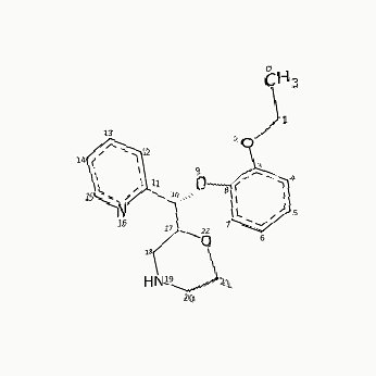 CCOc1ccccc1O[C@@H](c1ccccn1)C1CNCCO1